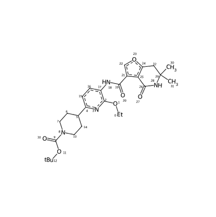 CCOc1nc(C2CCN(C(=O)OC(C)(C)C)CC2)ccc1NC(=O)c1coc2c1C(=O)NC(C)(C)C2